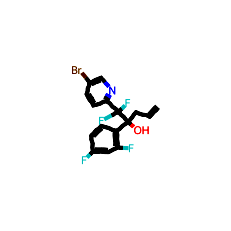 C=CCC(O)(c1ccc(F)cc1F)C(F)(F)c1ccc(Br)cn1